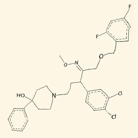 CON=C(COCc1ccc(F)cc1F)C(CCN1CCC(O)(c2ccccc2)CC1)c1ccc(Cl)c(Cl)c1